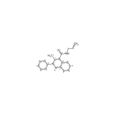 C=CCNC(=O)c1c(C)c(-c2ccccc2)nc2ccccc12